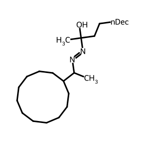 CCCCCCCCCCCCC(C)(O)N=NC(C)C1CCCCCCCCCCC1